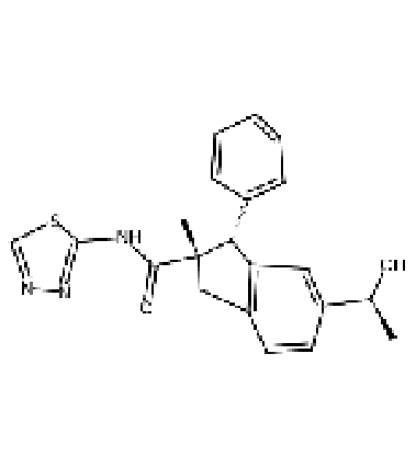 C[C@H](O)c1ccc2c(c1)[C@@H](c1ccccc1)[C@@](C)(C(=O)Nc1nncs1)C2